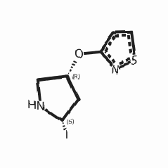 I[C@H]1C[C@@H](Oc2ccsn2)CN1